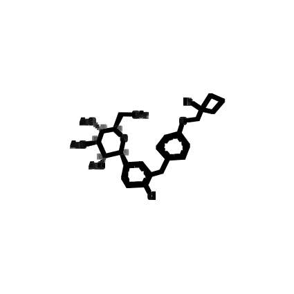 CCC1(COc2ccc(Cc3cc([C@@H]4O[C@H](COC(C)=O)[C@@H](OC(C)=O)[C@H](OC(C)=O)[C@H]4OC(C)=O)ccc3Cl)cc2)CCC1